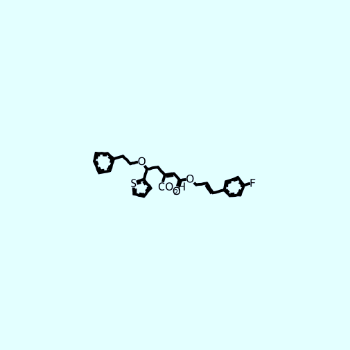 O=C(/C=C(/CC(OCCc1ccccc1)c1cccs1)C(=O)O)OCC=Cc1ccc(F)cc1